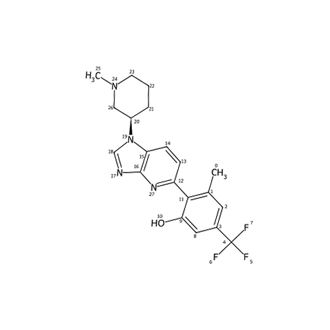 Cc1cc(C(F)(F)F)cc(O)c1-c1ccc2c(ncn2[C@@H]2CCCN(C)C2)n1